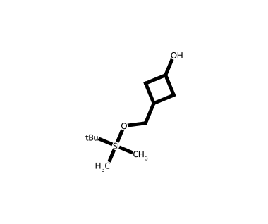 CC(C)(C)[Si](C)(C)OCC1CC(O)C1